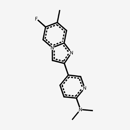 Cc1cc2nc(-c3ccc(N(C)C)nc3)cn2cc1F